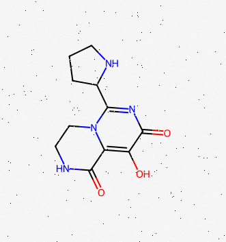 O=C1NCCn2c(C3CCCN3)nc(=O)c(O)c21